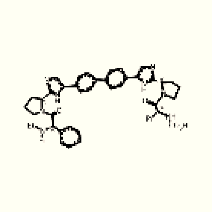 CCN(CC)[C@@H](C(=O)N1CCC[C@H]1c1ncc(-c2ccc(-c3ccc(-c4cnc([C@@H]5CCCN5C(=O)[C@@H](NC(=O)O)C(C)C)[nH]4)cc3)cc2)[nH]1)c1ccccc1